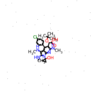 CNc1nc2c(c(NC)c(NC)n2C2(O)CC2)c(-c2ccc(Cl)cc2)c1[C@H](OC(C)(C)C)C(=O)O